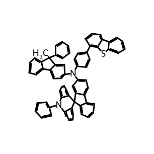 CC1(c2ccccc2)c2ccccc2-c2ccc(N(c3ccc(-c4cccc5c4sc4ccccc45)cc3)c3ccc4c(c3)C3(c5ccccc5-4)c4ccccc4N(c4ccccc4)c4ccccc43)cc21